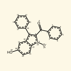 O=C(c1ccccc1)c1c(-c2ccccc2)c2cc(O)ccc2[s+]1[O-]